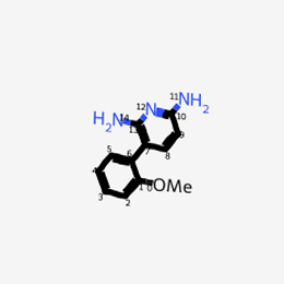 COc1ccccc1-c1ccc(N)nc1N